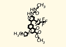 CCNC(=O)Nc1cc(-c2nc(C(F)(F)F)cs2)c(-c2ccc3c(c2)c(=O)c(C(=O)OCC)cn3[C@@H]2CCN(C)C2)cn1